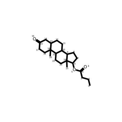 CCCC(=O)OC1CCC2C3CCC4CC(=O)CCC4(C)C3CCC12C